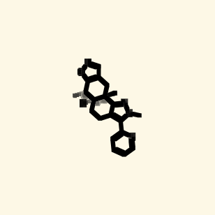 C[C@@H]1c2oncc2C[C@]2(C)c3nn(C)c(-c4ccccn4)c3CC[C@@H]12